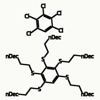 CCCCCCCCCCCCSc1cc(SCCCCCCCCCCCC)c(SCCCCCCCCCCCC)c(SCCCCCCCCCCCC)c1SCCCCCCCCCCCC.Clc1cc(Cl)c(Cl)c(Cl)c1Cl